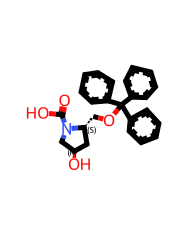 O=C(O)N1C[C@H](O)C[C@H]1COC(c1ccccc1)(c1ccccc1)c1ccccc1